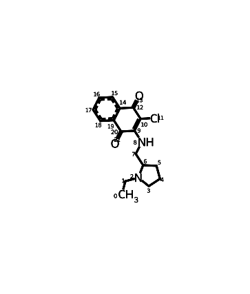 CCN1CCCC1CNC1=C(Cl)C(=O)c2ccccc2C1=O